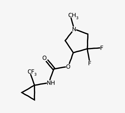 CN1CC(OC(=O)NC2(C(F)(F)F)CC2)C(F)(F)C1